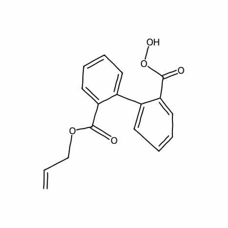 C=CCOC(=O)c1ccccc1-c1ccccc1C(=O)OO